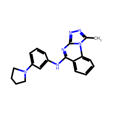 Cc1nnc2nc(Nc3cccc(N4CCCC4)c3)c3ccccc3n12